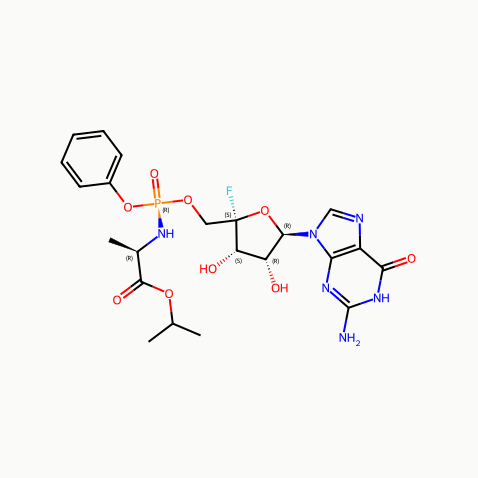 CC(C)OC(=O)[C@@H](C)N[P@@](=O)(OC[C@@]1(F)O[C@@H](n2cnc3c(=O)[nH]c(N)nc32)[C@H](O)[C@@H]1O)Oc1ccccc1